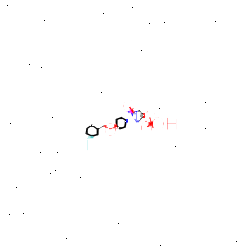 O=C(O)O[C@H]1CC(=O)N(c2ccc(OCc3cccc(F)c3)cc2)C1